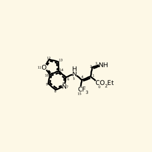 CCOC(=O)/C(C=N)=C(/Nc1nccc2occc12)C(F)(F)F